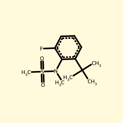 CN(c1c(F)cccc1C(C)(C)C)S(C)(=O)=O